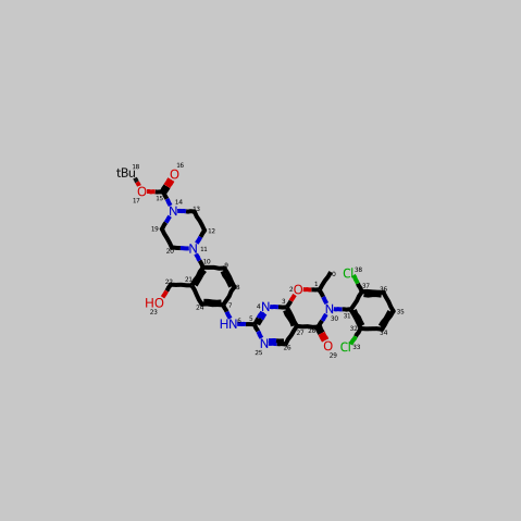 CC1Oc2nc(Nc3ccc(N4CCN(C(=O)OC(C)(C)C)CC4)c(CO)c3)ncc2C(=O)N1c1c(Cl)cccc1Cl